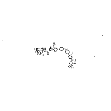 Cc1cc(-c2ccc(CN3CCC(c4ccc(NC5CCC(=O)NC5=O)cc4F)CC3)cc2)ccc1-n1cc(C(=O)NCc2nc(C(C)(C)C(F)(F)F)n[nH]2)cn1